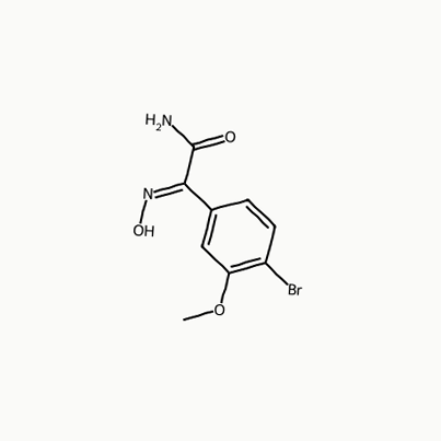 COc1cc(/C(=N\O)C(N)=O)ccc1Br